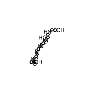 Cc1cc(N=Nc2cc(C)c(N=Nc3ccc4cc(NCOc5ccc(O)cc5)ccc4c3O)cc2C)ccc1N=Nc1ccc(N=Nc2ccccc2S(=O)(=O)O)c(C)c1